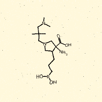 CN(C)CC(C)(C)CN1CC(CCCB(O)O)C(N)(C(=O)O)C1